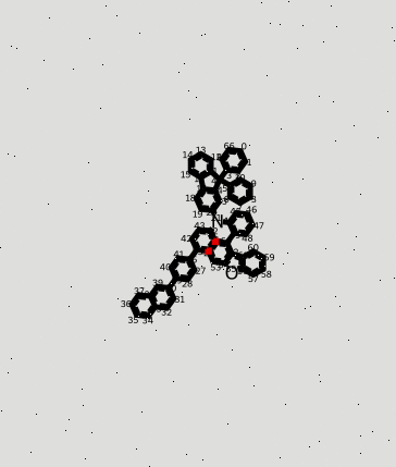 c1ccc(C2(c3ccccc3)c3ccccc3-c3ccc(N(c4ccc(-c5ccc(-c6ccc7ccccc7c6)cc5)cc4)c4ccccc4-c4cccc5oc6ccccc6c45)cc32)cc1